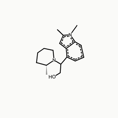 Cc1cc2c(C(CO)N3CCCC[C@H]3C)cccc2n1C